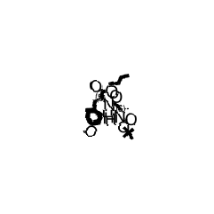 CCCCOC(=O)[C@H](Cc1ccc(OC)cc1)NC(=O)[C@H](C)NC(=O)OC(C)(C)C